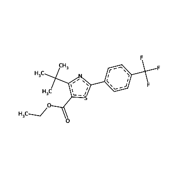 CCOC(=O)c1sc(-c2ccc(C(F)(F)F)cc2)nc1C(C)(C)C